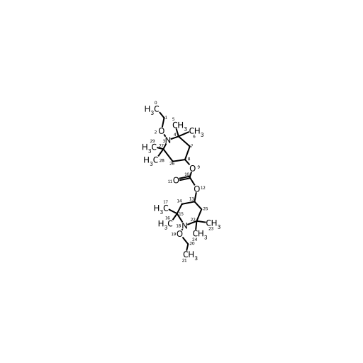 CCON1C(C)(C)CC(OC(=O)OC2CC(C)(C)N(OCC)C(C)(C)C2)CC1(C)C